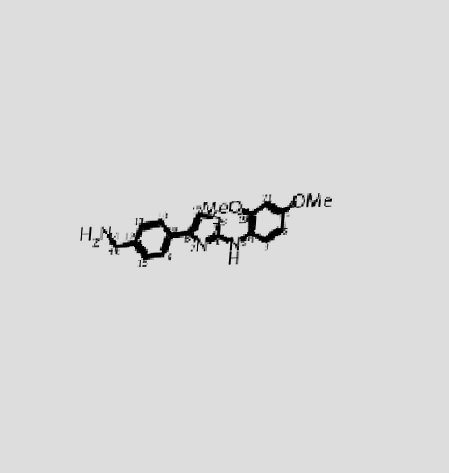 COc1ccc(Nc2nc(-c3ccc(CN)cc3)cs2)c(OC)c1